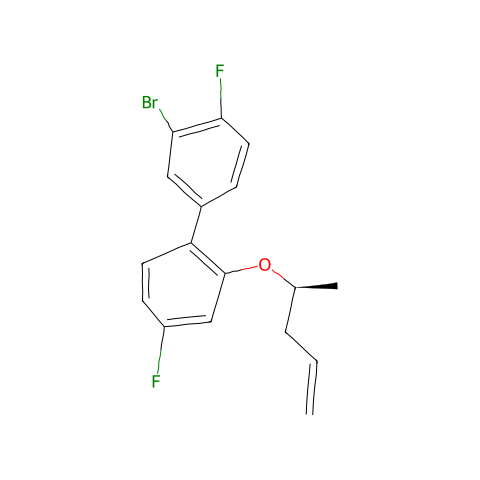 C=CC[C@H](C)Oc1cc(F)ccc1-c1ccc(F)c(Br)c1